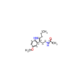 CCCc1[nH]c2ccc(OC)cc2c1CCNC(C)=O